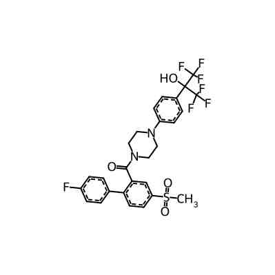 CS(=O)(=O)c1ccc(-c2ccc(F)cc2)c(C(=O)N2CCN(c3ccc(C(O)(C(F)(F)F)C(F)(F)F)cc3)CC2)c1